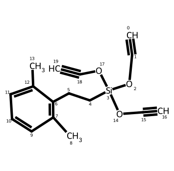 C#CO[Si](CCc1c(C)cccc1C)(OC#C)OC#C